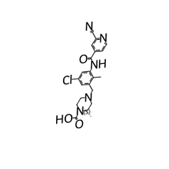 Cc1c(CN2CCN(C(=O)O)[C@@H](C)C2)cc(Cl)cc1NC(=O)c1ccnc(C#N)c1